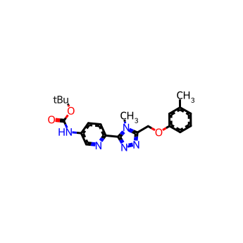 Cc1cccc(OCc2nnc(-c3ccc(NC(=O)OC(C)(C)C)cn3)n2C)c1